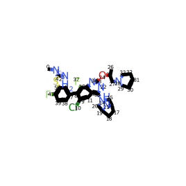 C/N=C(/N)Sc1cc(-c2c(Cl)cc3c(N4CC5CCC(C4)N5)nc(OC(C)CN4CC=CCC4)nc3c2F)ccc1F